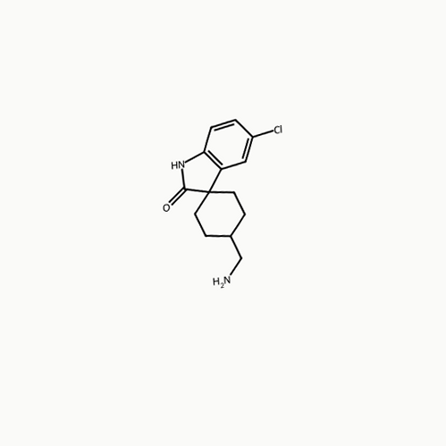 NCC1CCC2(CC1)C(=O)Nc1ccc(Cl)cc12